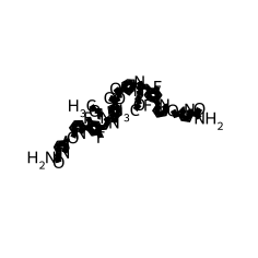 COCCn1c(Cc2cc(F)c(-c3cccc(OCc4ccc(C(N)=O)nc4)n3)cc2F)nc2ccc(C(=O)OC(=O)c3ccc4nc(Cc5cc(F)c(-c6cccc(OCc7ccc(C(N)=O)nc7)n6)cc5F)n(CCOC)c4c3)cc21